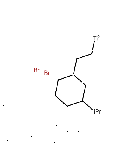 CC(C)C1CCCC(C[CH2][Tl+2])C1.[Br-].[Br-]